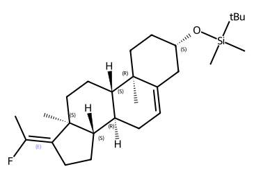 C/C(F)=C1/CC[C@H]2[C@@H]3CC=C4C[C@@H](O[Si](C)(C)C(C)(C)C)CC[C@]4(C)[C@H]3CC[C@]12C